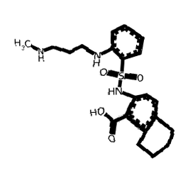 CNCCCNc1ccccc1S(=O)(=O)Nc1ccc2c(c1C(=O)O)CCCC2